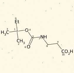 CCC(C)(C)OC(=O)NCCC(=O)O